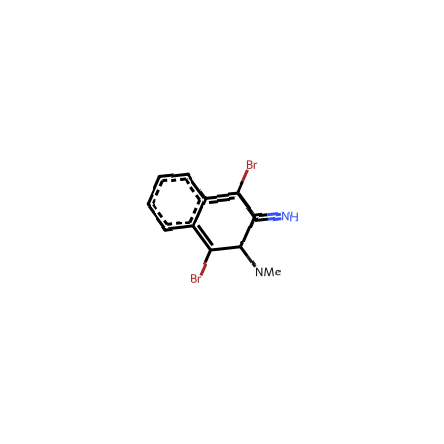 CNC1C(=N)C(Br)=c2ccccc2=C1Br